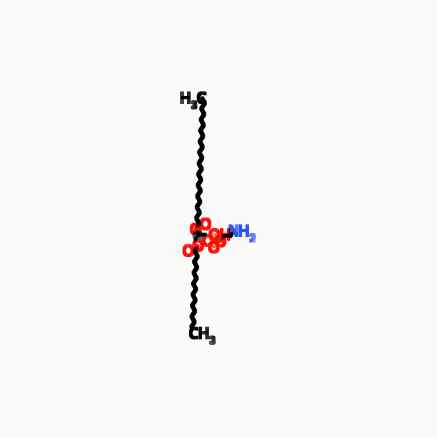 CCCCCCCCCCCCCCCCCCCCCCCC(=O)O[C@H](COC(=O)CCCCCCCCCCCCCCC)COP(=O)(O)OCCN